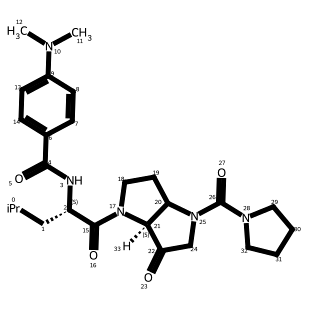 CC(C)C[C@H](NC(=O)c1ccc(N(C)C)cc1)C(=O)N1CCC2[C@H]1C(=O)CN2C(=O)N1CCCC1